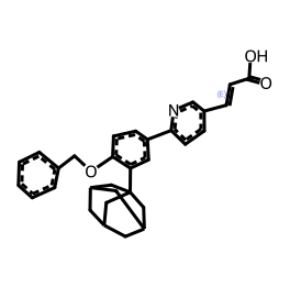 O=C(O)/C=C/c1ccc(-c2ccc(OCc3ccccc3)c(C34CC5CC(CC(C5)C3)C4)c2)nc1